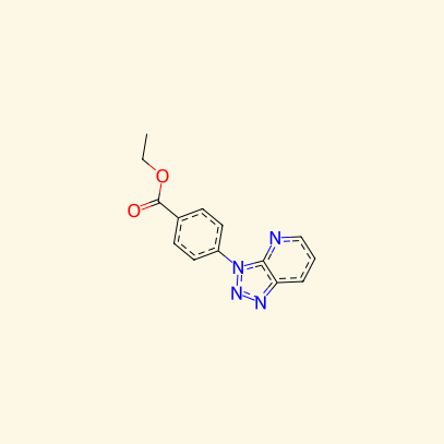 CCOC(=O)c1ccc(-n2nnc3cccnc32)cc1